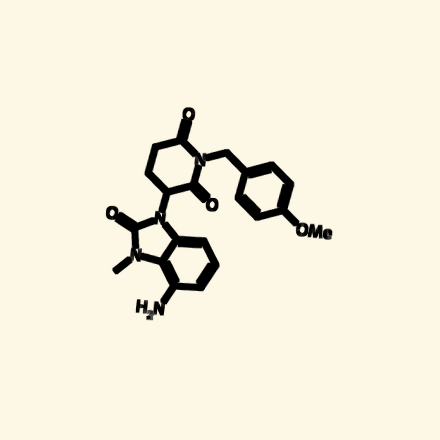 COc1ccc(CN2C(=O)CCC(n3c(=O)n(C)c4c(N)cccc43)C2=O)cc1